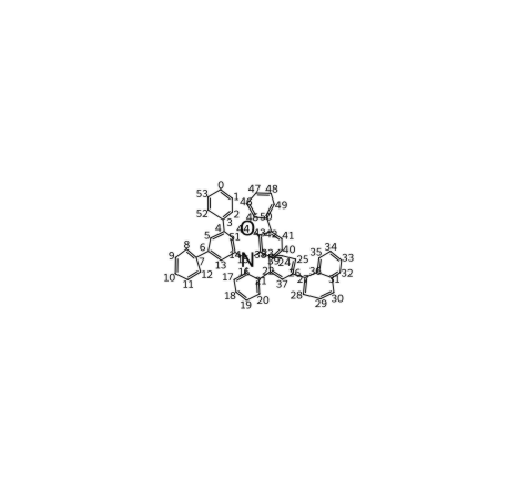 c1ccc(-c2cc(-c3ccccc3)cc(N(c3ccccc3-c3cccc(-c4cccc5ccccc45)c3)c3cccc4c3oc3ccccc34)c2)cc1